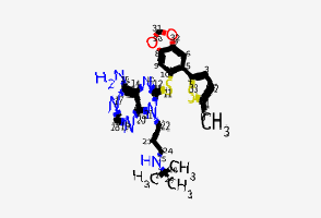 Cc1ccc(-c2cc3c(cc2Sc2nc4c(N)ncnc4n2CCCNC(C)(C)C)OCO3)s1